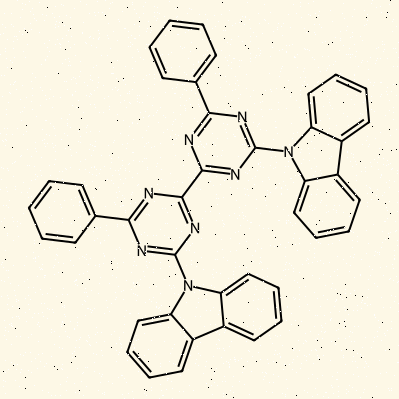 c1ccc(-c2nc(-c3nc(-c4ccccc4)nc(-n4c5ccccc5c5ccccc54)n3)nc(-n3c4ccccc4c4ccccc43)n2)cc1